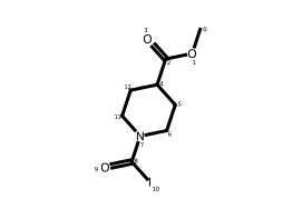 COC(=O)C1CCN(C(=O)I)CC1